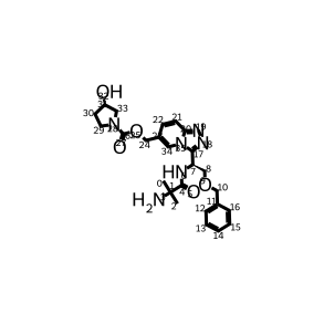 CC(C)(N)C(=O)N[C@H](COCc1ccccc1)c1nnc2ccc(COC(=O)N3CC[C@@H](O)C3)cn12